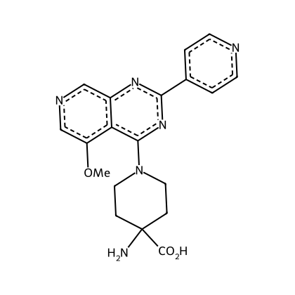 COc1cncc2nc(-c3ccncc3)nc(N3CCC(N)(C(=O)O)CC3)c12